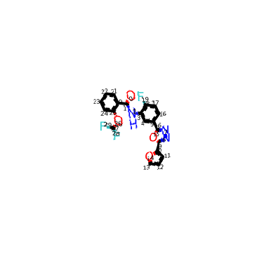 O=C(Nc1cc(-c2nnc(-c3ccco3)o2)ccc1F)c1ccccc1OC(F)F